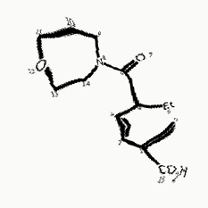 C=C(/C=C\C(CC)C(=O)N1CCCOCC1)C(=O)O